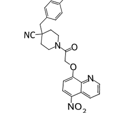 N#CC1(Cc2ccc(F)cc2)CCN(C(=O)COc2ccc([N+](=O)[O-])c3cccnc23)CC1